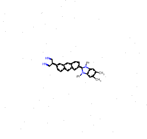 Cc1cc2c(cc1C)N(C(C)C)C(=c1ccc3cc4cc(=C(C=N)C=N)ccc4cc3c1)N2C(C)C